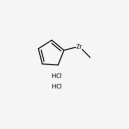 Cl.Cl.[CH3][Zr][C]1=CC=CC1